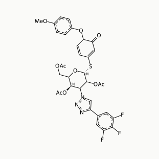 COc1ccc(OC2C=CC(S[C@H]3OC(COC(C)=O)[C@H](OC(C)=O)C(n4cc(-c5cc(F)c(F)c(F)c5)nn4)C3OC(C)=O)=CC2=O)cc1